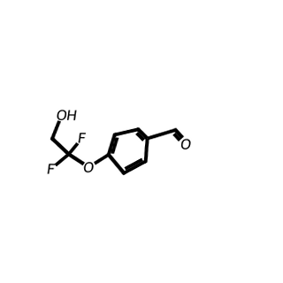 O=Cc1ccc(OC(F)(F)CO)cc1